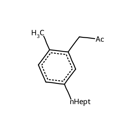 CCCCCCCc1ccc(C)c(CC(C)=O)c1